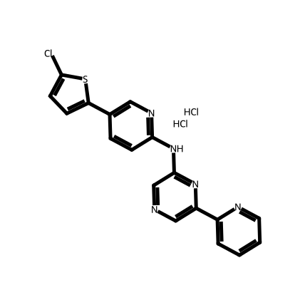 Cl.Cl.Clc1ccc(-c2ccc(Nc3cncc(-c4ccccn4)n3)nc2)s1